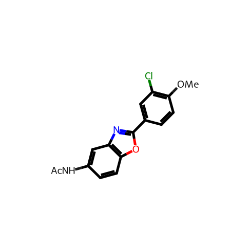 COc1ccc(-c2nc3cc(NC(C)=O)ccc3o2)cc1Cl